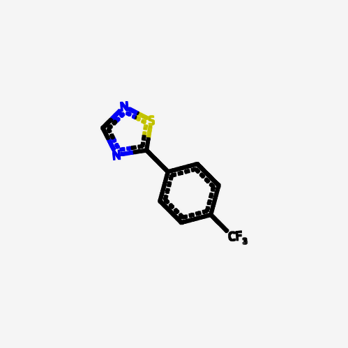 FC(F)(F)c1ccc(-c2ncns2)cc1